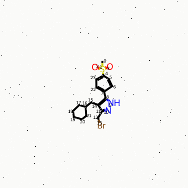 CS(=O)(=O)c1ccc(-c2[nH]nc(CBr)c2CC2CCCCC2)cc1